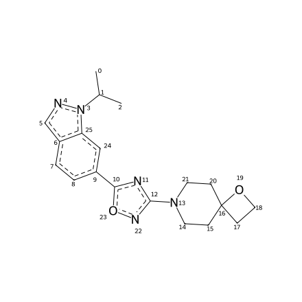 CC(C)n1ncc2ccc(-c3nc(N4CCC5(CCO5)CC4)no3)cc21